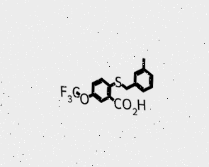 Cc1cccc(CSc2ccc(OC(F)(F)F)cc2C(=O)O)c1